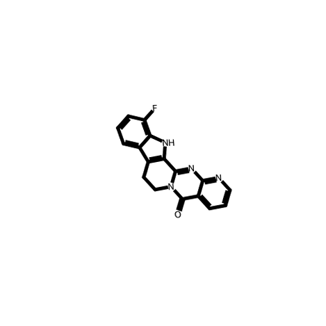 O=c1c2cccnc2nc2n1CCc1c-2[nH]c2c(F)cccc12